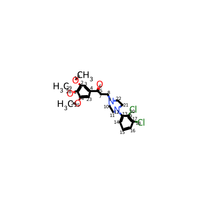 COc1cc(C(=O)CCN2CCN(c3cccc(Cl)c3Cl)CC2)cc(OC)c1OC